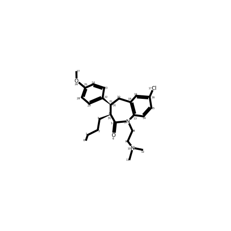 CCCC[C@@H]1C(=O)N(CCN(C)C)c2ccc(Cl)cc2C[C@@H]1c1ccc(OC)cc1